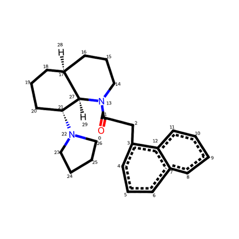 O=C(Cc1cccc2ccccc12)N1CCC[C@@H]2CCC[C@@H](N3CCCC3)[C@@H]21